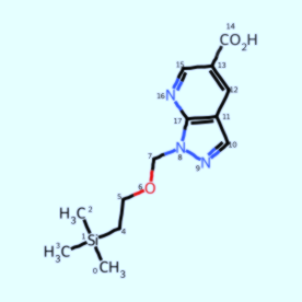 C[Si](C)(C)CCOCn1ncc2cc(C(=O)O)cnc21